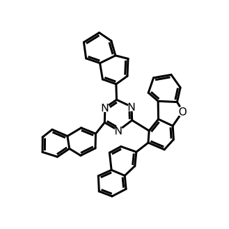 c1ccc2cc(-c3nc(-c4ccc5ccccc5c4)nc(-c4c(-c5ccc6ccccc6c5)ccc5oc6ccccc6c45)n3)ccc2c1